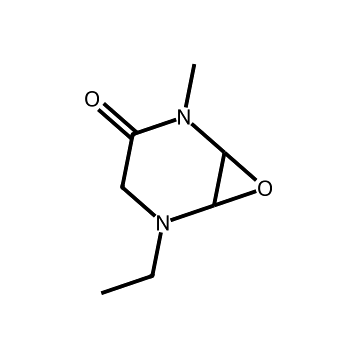 CCN1CC(=O)N(C)C2OC21